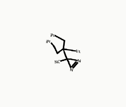 CCC(CC(C)C)(CC(C)C)C1(C#N)N=N1